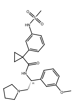 COc1cccc([C@H](CN2CCCC2)NC(=O)C2(c3cccc(NS(C)(=O)=O)c3)CC2)c1